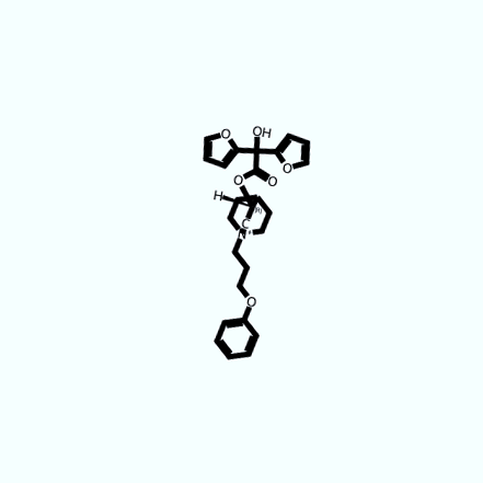 O=C(O[C@H]1C[N+]2(CCCOc3ccccc3)CCC1CC2)C(O)(c1ccco1)c1ccco1